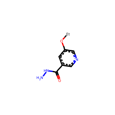 CCOc1cncc(C(=O)NN)c1